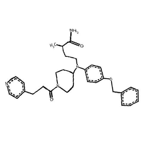 CC(CCN(c1ccc(OCc2ccccc2)cc1)C1CCN(C(=O)[CH]Cc2ccncc2)CC1)C(N)=O